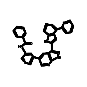 O=C(Nc1cncc(-c2cnc3[nH]nc(-c4cc5c(-c6ccccn6)nccc5[nH]4)c3c2)c1)c1ccccc1